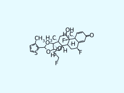 Cc1ccsc1C1O[C@@H]2C[C@H]3[C@@H]4C[C@H](F)C5=CC(=O)C=C[C@]5(C)[C@@]4(F)[C@@H](O)C[C@]3(C)[C@]2(C(=O)SCF)O1